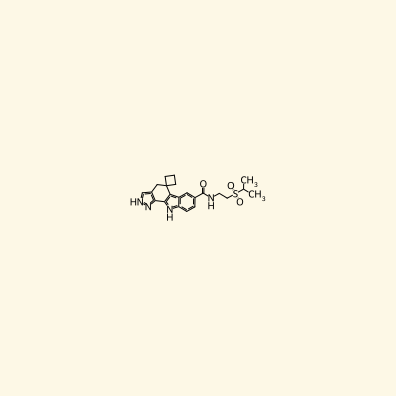 CC(C)S(=O)(=O)CCNC(=O)c1ccc2[nH]c3c(c2c1)C1(CCC1)Cc1c[nH]nc1-3